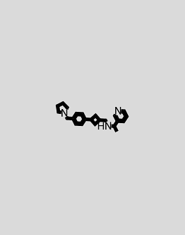 CC(NCC1CC(c2ccc(CN3CCCC3)cc2)C1)c1cccnc1